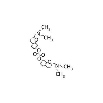 CCCN(CCC)CC1CCc2ccc(OC(=O)C(=O)Oc3ccc4c(c3)OC(CN(CCC)CCC)CC4)cc2O1